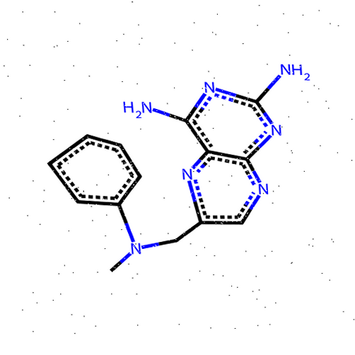 CN(Cc1cnc2nc(N)nc(N)c2n1)c1ccccc1